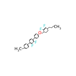 CCCCC1CCC(COc2ccc(-c3ccc(-c4ccc(CC)cc4)c(F)c3F)cc2)C(F)=C1F